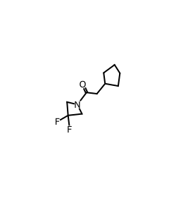 O=C(CC1CCCC1)N1CC(F)(F)C1